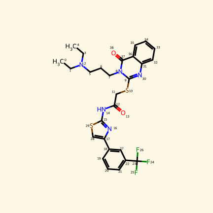 CCN(CC)CCCn1c(SCC(=O)Nc2nc(-c3cccc(C(F)(F)F)c3)cs2)nc2ccccc2c1=O